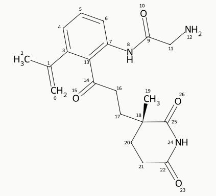 C=C(C)c1cccc(NC(=O)CN)c1C(=O)CC[C@@]1(C)CCC(=O)NC1=O